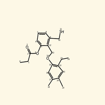 CCC(=O)Oc1cccc(CS)c1COc1cc(C)c(C)cc1CC